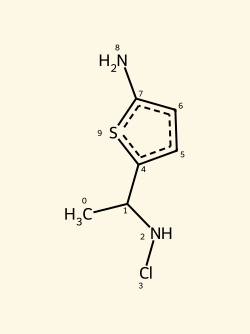 CC(NCl)c1ccc(N)s1